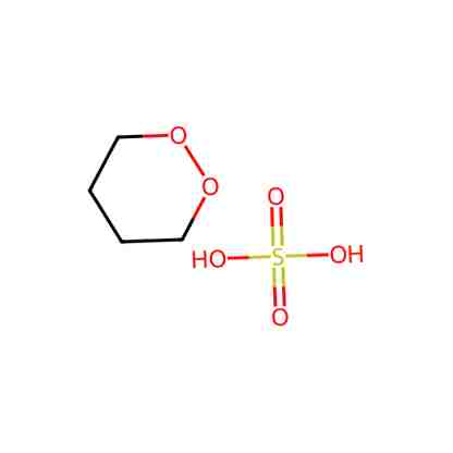 C1CCOOC1.O=S(=O)(O)O